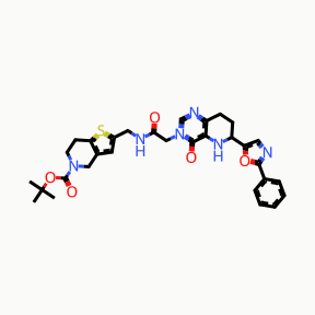 CC(C)(C)OC(=O)N1CCc2sc(CNC(=O)Cn3cnc4c(c3=O)NC(c3cnc(-c5ccccc5)o3)CC4)cc2C1